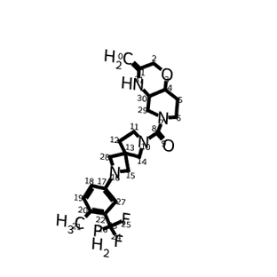 C=C1COC2CCN(C(=O)N3CCC4(C3)CN(c3ccc(C)c(C(F)(F)P)c3)C4)CC2N1